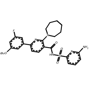 CC(C)COc1cc(F)cc(-c2ccc(C(=O)NS(=O)(=O)c3cccc(N)n3)c(N3CCCCCC3)n2)c1